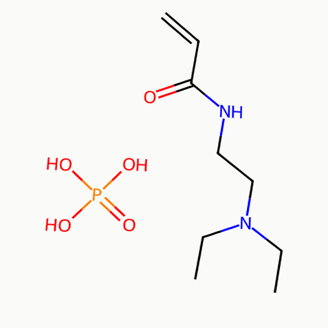 C=CC(=O)NCCN(CC)CC.O=P(O)(O)O